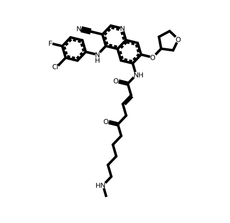 CNCCCCCC(=O)C/C=C/C(=O)Nc1cc2c(Nc3ccc(F)c(Cl)c3)c(C#N)cnc2cc1OC1CCOC1